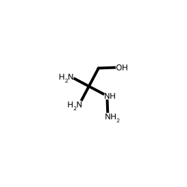 NNC(N)(N)CO